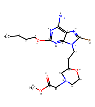 CCCCOc1nc(N)c2nc(Br)n(CCC3CN(CC(=O)OC)CCO3)c2n1